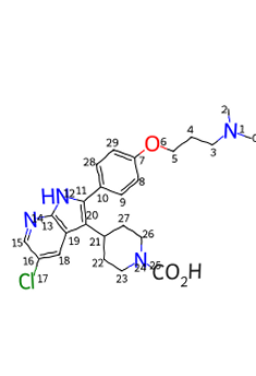 CN(C)CCCOc1ccc(-c2[nH]c3ncc(Cl)cc3c2C2CCN(C(=O)O)CC2)cc1